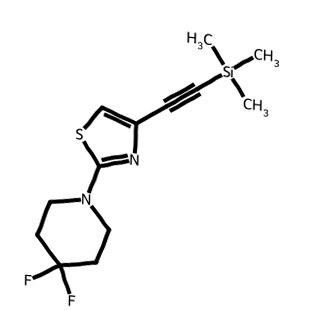 C[Si](C)(C)C#Cc1csc(N2CCC(F)(F)CC2)n1